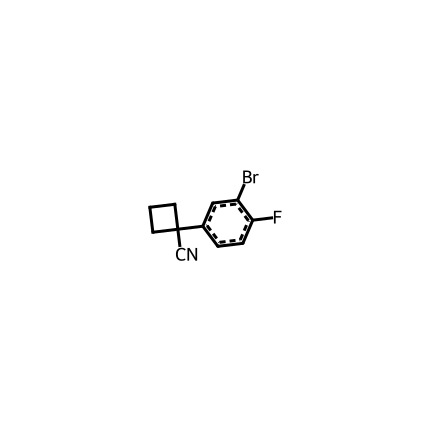 N#CC1(c2ccc(F)c(Br)c2)CCC1